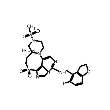 CS(=O)(=O)N1CCN2c3cnc(NCc4c(F)ccc5c4CCO5)n4cnc(c34)S(=O)(=O)CC[C@H]2C1